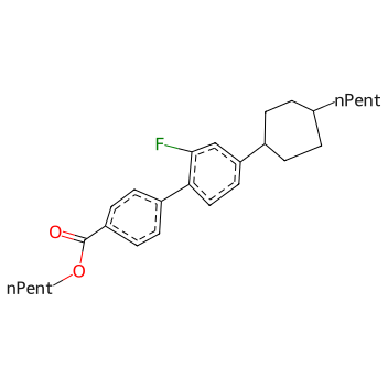 CCCCCOC(=O)c1ccc(-c2ccc(C3CCC(CCCCC)CC3)cc2F)cc1